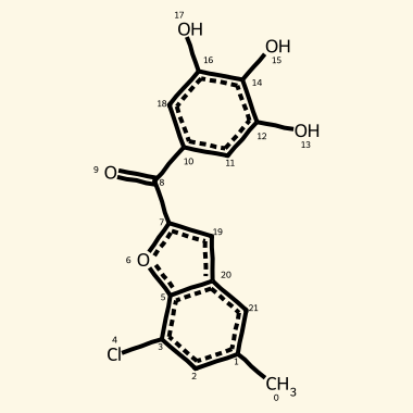 Cc1cc(Cl)c2oc(C(=O)c3cc(O)c(O)c(O)c3)cc2c1